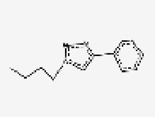 CCC[CH]n1cc(-c2cccnc2)nn1